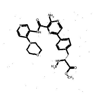 BN[C@H](Cc1ccc(-c2cnc(N)c(C(=O)Nc3cnccc3N3CCOCC3)n2)cc1)C(=O)OC